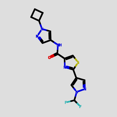 O=C(Nc1cnn(C2CCC2)c1)c1csc(-c2cnn(C(F)F)c2)n1